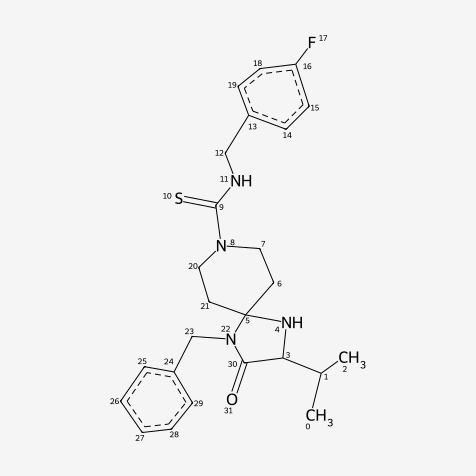 CC(C)C1NC2(CCN(C(=S)NCc3ccc(F)cc3)CC2)N(Cc2ccccc2)C1=O